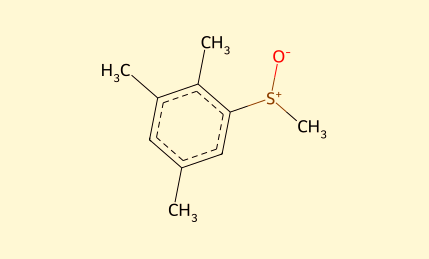 Cc1cc(C)c(C)c([S+](C)[O-])c1